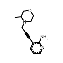 CC1COCCN1CC#Cc1cccnc1N